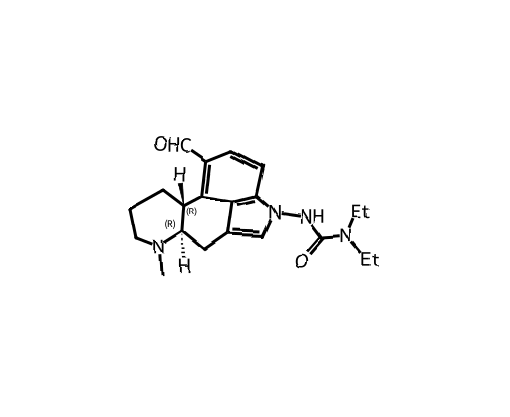 CCN(CC)C(=O)Nn1cc2c3c(c(C=O)ccc31)[C@H]1CCCN(C)[C@@H]1C2